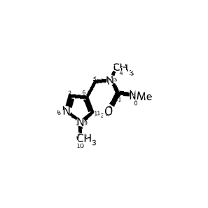 CNC(=O)N(C)Cc1cnn(C)c1